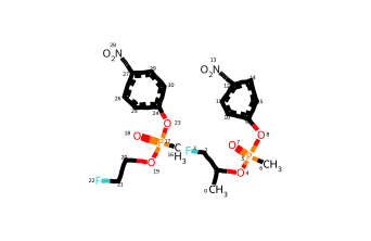 CC(CF)OP(C)(=O)Oc1ccc([N+](=O)[O-])cc1.CP(=O)(OCCF)Oc1ccc([N+](=O)[O-])cc1